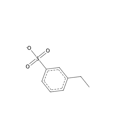 CCc1cccc(S([O])(=O)=O)c1